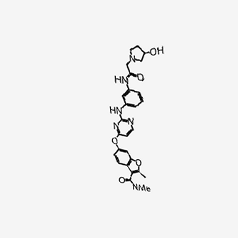 CNC(=O)c1c(C)oc2cc(Oc3ccnc(Nc4cccc(NC(=O)CN5CC[C@@H](O)C5)c4)n3)ccc12